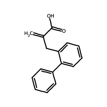 C=C(Cc1ccccc1-c1ccccc1)C(=O)O